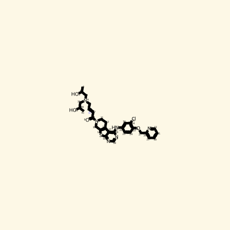 CC(O)CN(C/C=C/C(=O)N1CCc2c(sc3ncnc(Nc4ccc(OCc5ccccn5)c(Cl)c4)c23)C1)CC(C)O